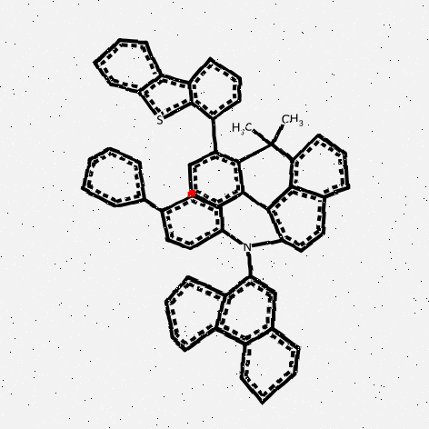 CC1(C)c2c(-c3cccc4c3sc3ccccc34)cccc2-c2c(N(c3ccc(-c4ccccc4)cc3)c3cc4ccccc4c4ccccc34)ccc3cccc1c23